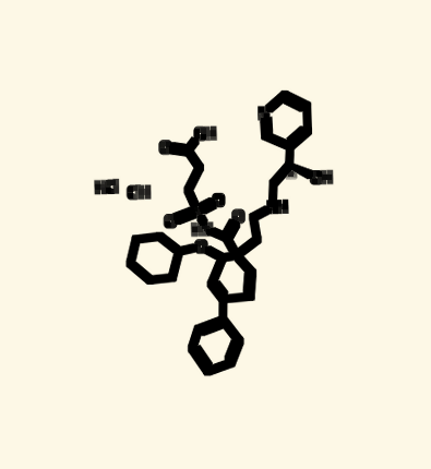 Cl.Cl.O=C(O)CCS(=O)(=O)NC(=O)C1(CCNC[C@H](O)c2cccnc2)C=CC(c2ccccc2)=CC1OC1CCCCC1